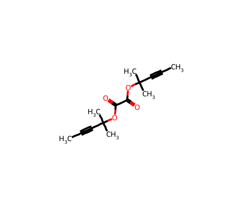 CC#CC(C)(C)OC(=O)C(=O)OC(C)(C)C#CC